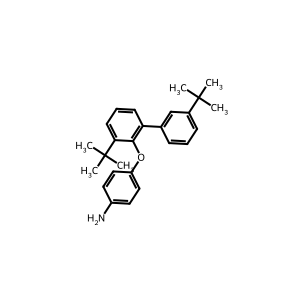 CC(C)(C)c1cccc(-c2cccc(C(C)(C)C)c2Oc2ccc(N)cc2)c1